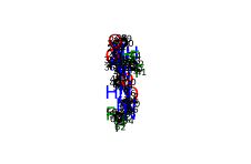 CC(C)c1c(C(=O)NN2CCOc3c(-c4cc5c(nc(C(=O)NN6CCOc7ccccc76)n5C(C)C)c(-c5cc(F)cc(F)c5F)n4)cccc32)cnc2c(-c3cc(F)cc(F)c3F)ncn12